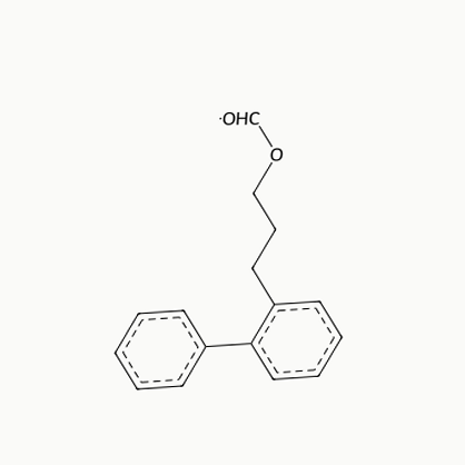 O=[C]OCCCc1ccccc1-c1ccccc1